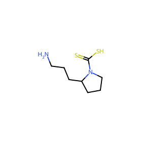 NCCCC1CCCN1C(=S)S